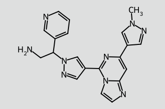 Cn1cc(-c2cc3nccn3c(-c3cnn(C(CN)c4cccnc4)c3)n2)cn1